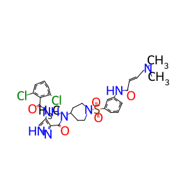 CN(C)CC=CC(=O)Nc1cccc(S(=O)(=O)N2CCC(N(C)C(=O)c3n[nH]cc3NC(=O)c3c(Cl)cccc3Cl)CC2)c1